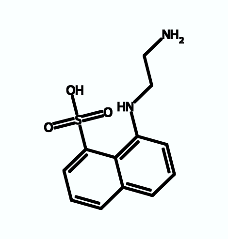 NCCNc1cccc2cccc(S(=O)(=O)O)c12